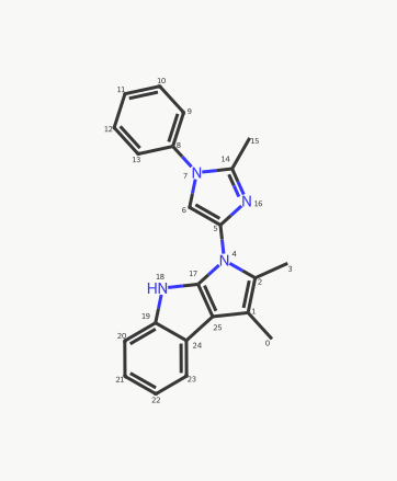 Cc1c(C)n(-c2cn(-c3ccccc3)c(C)n2)c2[nH]c3ccccc3c12